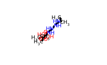 CCC(C)NCCNCCNCCNC(=O)[C@H](O)[C@@H](O)C(=O)C(C)(CC)OC